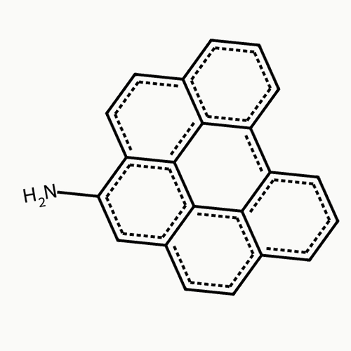 Nc1cc2ccc3cccc4c5cccc6ccc1c(c65)c2c34